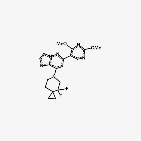 COc1ncc(-c2cc(N3CCC4(CC4)C(F)(F)C3)c3nccn3n2)c(OC)n1